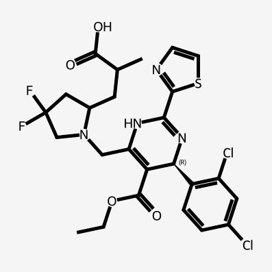 CCOC(=O)C1=C(CN2CC(F)(F)CC2CC(C)C(=O)O)NC(c2nccs2)=N[C@H]1c1ccc(Cl)cc1Cl